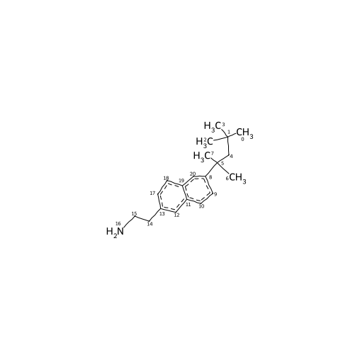 CC(C)(C)CC(C)(C)c1ccc2cc(CCN)ccc2c1